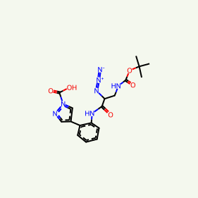 CC(C)(C)OC(=O)NCC(N=[N+]=[N-])C(=O)Nc1ccccc1-c1cnn(C(=O)O)c1